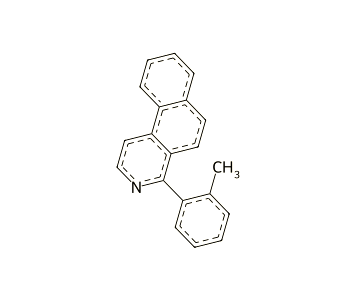 Cc1ccccc1-c1nccc2c1ccc1ccccc12